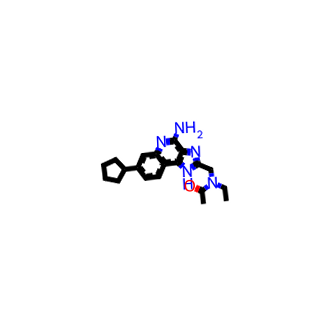 CCN(Cc1nc2c(N)nc3cc(C4CCCC4)ccc3c2[nH]1)C(C)=O